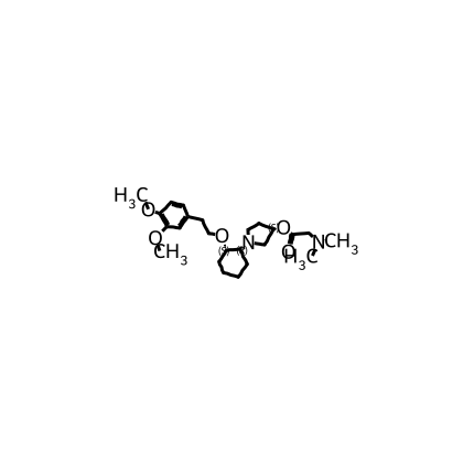 COc1ccc(CCO[C@H]2CCCC[C@H]2N2CC[C@H](OC(=O)CN(C)C)C2)cc1OC